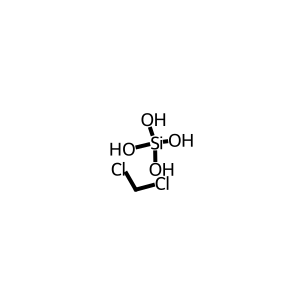 ClCCl.O[Si](O)(O)O